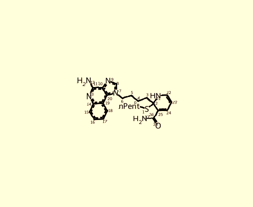 CCCCCSC1(CCCCn2cnc3c(N)nc4ccccc4c32)NC=CC=C1C(N)=O